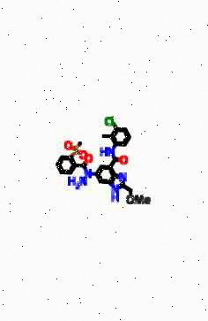 COCc1nc2c(C(=O)Nc3cccc(Cl)c3C)cc(N(N)C(=O)c3ccccc3S(C)(=O)=O)cc2[nH]1